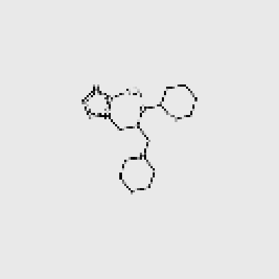 O=[N+]([O-])c1nccn1CC(CN1CC[CH]CC1)OC1CCCCO1